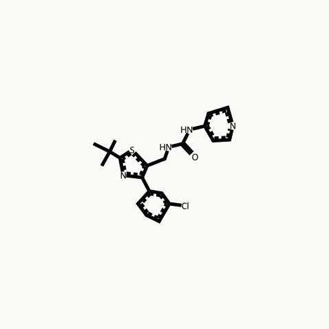 CC(C)(C)c1nc(-c2cccc(Cl)c2)c(CNC(=O)Nc2ccncc2)s1